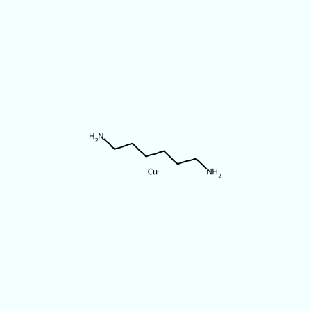 NCCCCCCN.[Cu]